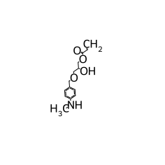 C=CC(=O)OCC(O)COCc1ccc(NC)cc1